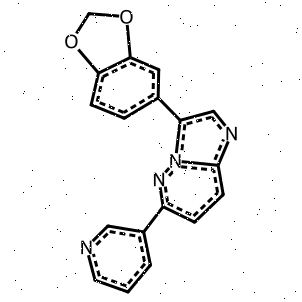 c1cncc(-c2ccc3ncc(-c4ccc5c(c4)OCO5)n3n2)c1